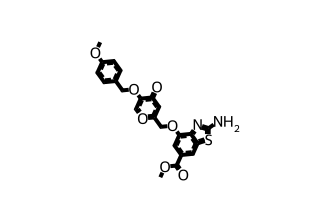 COC(=O)c1cc(OCc2cc(=O)c(OCc3ccc(OC)cc3)co2)c2nc(N)sc2c1